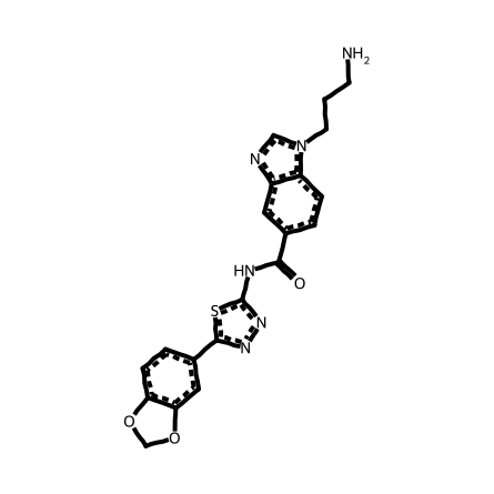 NCCCn1cnc2cc(C(=O)Nc3nnc(-c4ccc5c(c4)OCO5)s3)ccc21